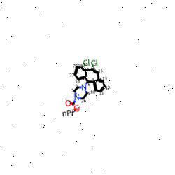 CCCOC(=O)N1CCN(C2c3ccccc3C=C(Cl)c3c(Cl)cccc32)CC1